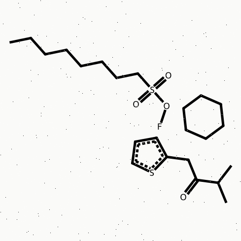 C1CCCCC1.CC(C)C(=O)Cc1cccs1.CCCCCCCCS(=O)(=O)OF